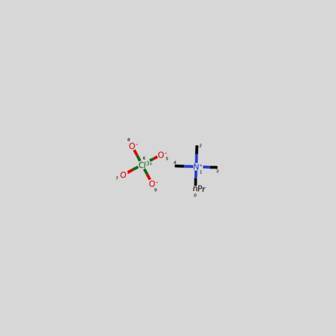 CCC[N+](C)(C)C.[O-][Cl+3]([O-])([O-])[O-]